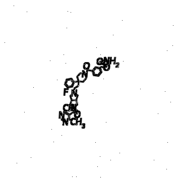 Cc1ncnc(C)c1C(=O)N1CC2CN(CCC3(c4cccc(F)c4)CCN(C(=O)c4cccc(S(N)(=O)=O)c4)CC3)CC2C1